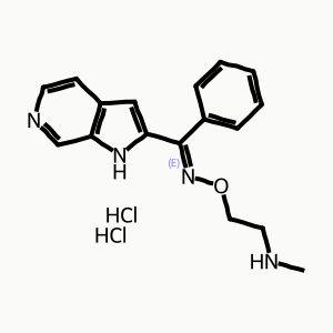 CNCCO/N=C(\c1ccccc1)c1cc2ccncc2[nH]1.Cl.Cl